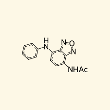 CC(=O)Nc1ccc(Nc2ccccc2)c2nonc12